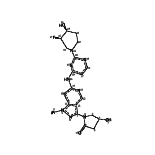 CC(C)n1nc(N2CC(O)CC2=O)c2cnc(Nc3ccnc(N4CC[C@H](O)[C@H](F)C4)n3)cc21